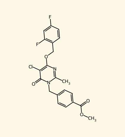 COC(=O)c1ccc(Cn2c(C)nc(OCc3ccc(F)cc3F)c(Cl)c2=O)cc1